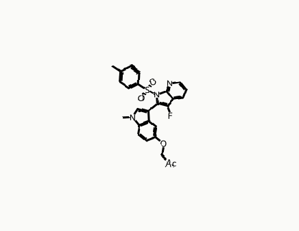 CC(=O)COc1ccc2c(c1)c(-c1c(F)c3cccnc3n1S(=O)(=O)c1ccc(C)cc1)cn2C